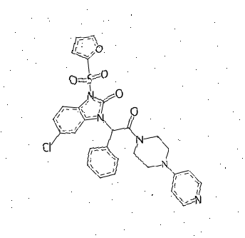 O=C(C(c1ccccc1)n1c(=O)n(S(=O)(=O)c2ccco2)c2ccc(Cl)cc21)N1CCN(c2ccncc2)CC1